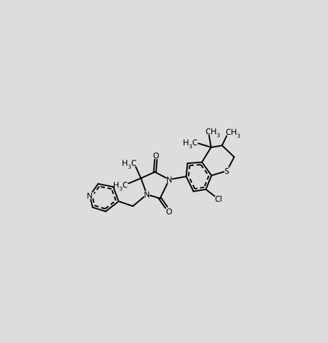 CC1CSc2c(Cl)cc(N3C(=O)N(Cc4ccncc4)C(C)(C)C3=O)cc2C1(C)C